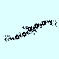 COC(C)CCOc1ccc(C(=O)Oc2ccc(C(=O)Oc3cc(C)c(OC(=O)c4ccc(OC(=O)c5ccc(OCCC(C)OC)cc5)cc4)c(C)c3C)cc2)cc1